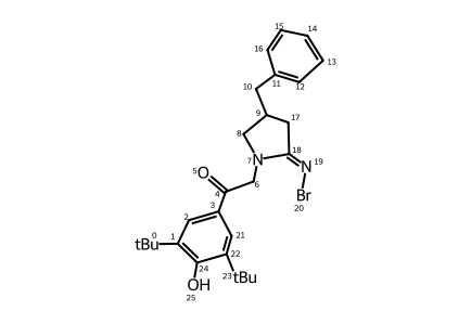 CC(C)(C)c1cc(C(=O)CN2CC(Cc3ccccc3)C/C2=N/Br)cc(C(C)(C)C)c1O